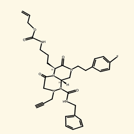 C#CCN1CC(=O)N2[C@@H](CCCNC(=O)OCC=C)C(=O)N(CCc3ccc(F)cc3)C[C@@H]2N1C(=O)NCc1ccccc1